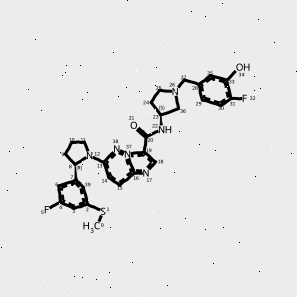 CSc1cc(F)cc([C@H]2CCCN2c2ccc3ncc(C(=O)N[C@H]4CCN(Cc5ccc(F)c(O)c5)C4)n3n2)c1